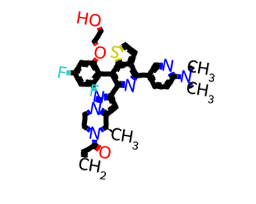 C=CC(=O)N1CCn2nc(-c3nc(-c4ccc(N(C)C)nc4)c4ccsc4c3-c3c(F)cc(F)cc3OCCO)cc2[C@@H]1C